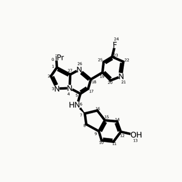 CC(C)c1cnn2c(N[C@@H]3Cc4ccc(O)cc4C3)cc(-c3cncc(F)c3)nc12